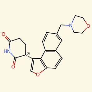 O=C1CC[C@H](c2coc3ccc4cc(CN5CCOCC5)ccc4c23)C(=O)N1